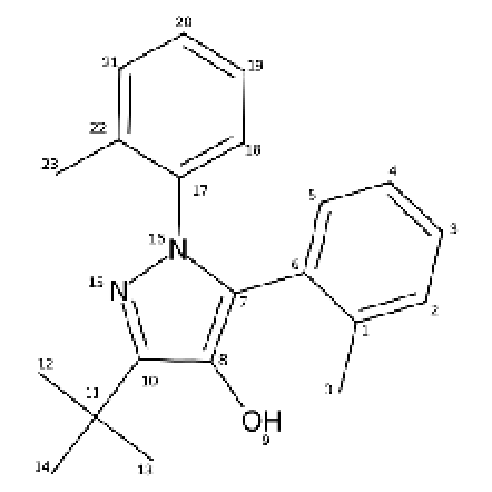 Cc1ccccc1-c1c(O)c(C(C)(C)C)nn1-c1ccccc1C